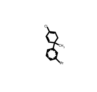 CC(C)c1cccc(C2(C)C=CC(Cl)=CC2)c1